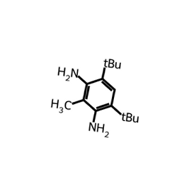 Cc1c(N)c(C(C)(C)C)cc(C(C)(C)C)c1N